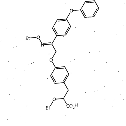 CCON=C(COc1ccc(CC(OCC)C(=O)O)cc1)c1ccc(Oc2ccccc2)cc1